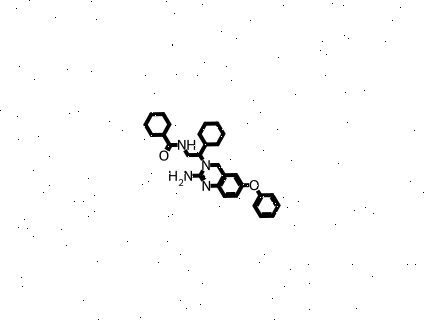 NC1=Nc2ccc(Oc3ccccc3)cc2CN1C(CNC(=O)C1CCCCC1)C1CCCCC1